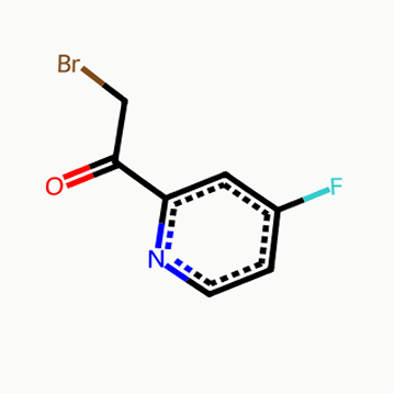 O=C(CBr)c1cc(F)ccn1